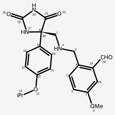 COc1ccc(CNC[C@@]2(c3ccc(OC(C)C)cc3)NC(=O)NC2=O)c(C=O)c1